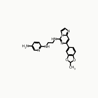 CC1Oc2ccc(-c3cc4nccn4c(NCCNc4ccc(N)cn4)n3)cc2O1